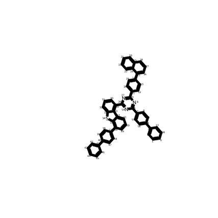 c1ccc(-c2ccc(-c3nc(-c4ccc(-c5cccc6ccccc56)cc4)nc(-c4cccc5sc6c(-c7ccc(-c8ccccc8)cc7)cccc6c45)n3)cc2)cc1